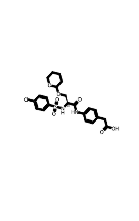 O=C(O)Cc1ccc(NC(=O)[C@H](COC2CCCCO2)NS(=O)(=O)c2ccc(Cl)cc2)cc1